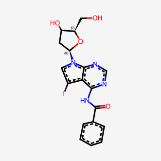 O=C(Nc1ncnc2c1c(I)cn2[C@H]1CC(O)[C@@H](CO)O1)c1ccccc1